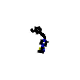 CCc1cccc(C#CCN2CCN(c3nccs3)CC2)c1